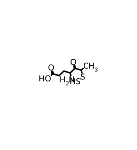 CC(SS)C(=O)C(N)CCC(=O)O